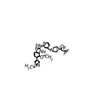 CCOc1c(-c2cnn(CC)c2)ccc2nc(Nc3cc(CN4CCN(C(=O)CC(F)(F)F)CC4)ccn3)[nH]c12